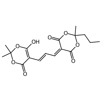 CCCC1(C)OC(=O)C(=CC=CC2=C(O)OC(C)(C)OC2=O)C(=O)O1